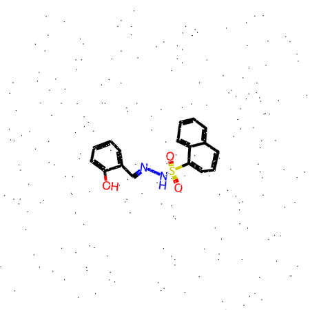 O=S(=O)(NN=Cc1ccccc1O)c1cccc2ccccc12